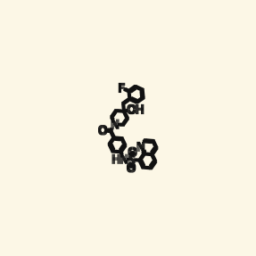 O=C(c1ccc(NS(=O)(=O)c2cccc3cccnc23)cc1)N1CCC(O)(Cc2ccccc2F)CC1